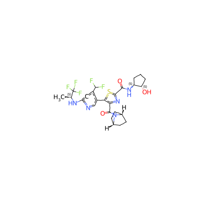 C[C@H](Nc1cc(C(F)F)c(-c2sc(C(=O)N[C@H]3CCC[C@@H]3O)nc2C(=O)N2[C@H]3CC[C@@H]2CC3)cn1)C(F)(F)F